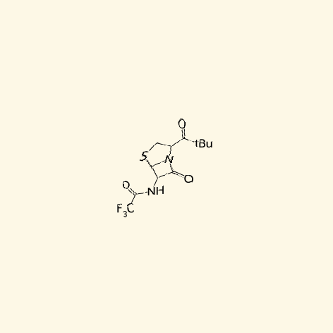 CC(C)(C)C(=O)C1CSC2C(NC(=O)C(F)(F)F)C(=O)N12